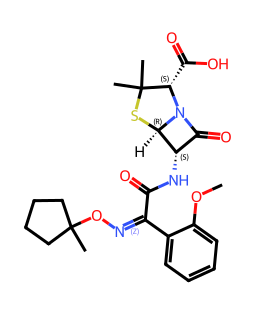 COc1ccccc1/C(=N/OC1(C)CCCC1)C(=O)N[C@H]1C(=O)N2[C@@H]1SC(C)(C)[C@@H]2C(=O)O